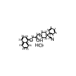 Cl.N#CC1(c2ccccc2)CCN(CC(O)COc2cccc3ccccc23)CC1